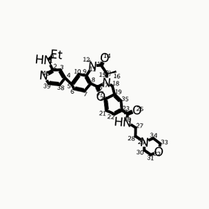 CCNc1cc(-c2ccc3c(c2)N(C)C(=O)[C@@H](C)N(Cc2cccc(C(=O)NCCN4CCOCC4)c2)C3=O)ccn1